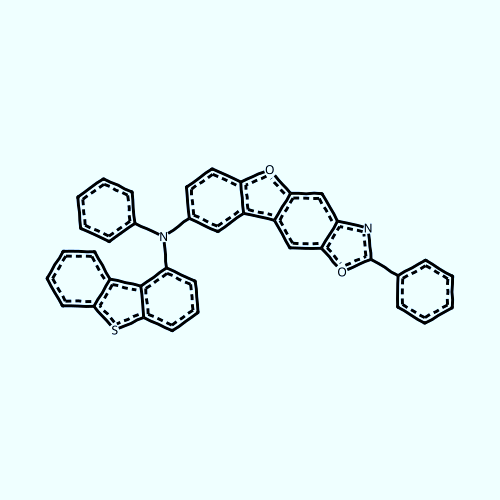 c1ccc(-c2nc3cc4oc5ccc(N(c6ccccc6)c6cccc7sc8ccccc8c67)cc5c4cc3o2)cc1